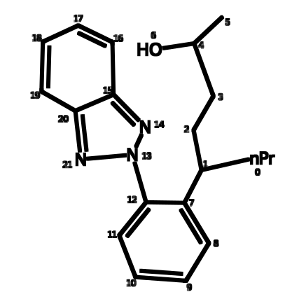 CCCC(CCC(C)O)c1ccccc1-n1nc2ccccc2n1